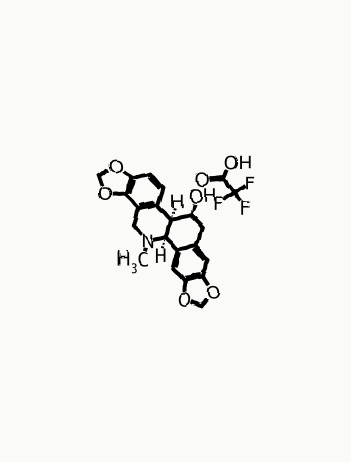 CN1Cc2c(ccc3c2OCO3)[C@@H]2[C@H]1c1cc3c(cc1C[C@@H]2O)OCO3.O=C(O)C(F)(F)F